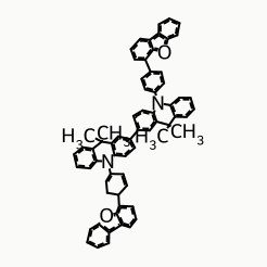 CC1(C)c2ccccc2N(C2=CCC(c3cccc4c3oc3ccccc34)C=C2)c2ccc(-c3ccc4c(c3)C(C)(C)c3ccccc3N4c3ccc(-c4cccc5c4oc4ccccc45)cc3)cc21